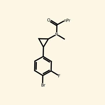 CCCC(=O)N(C)C1CC1c1ccc(Br)c(F)c1